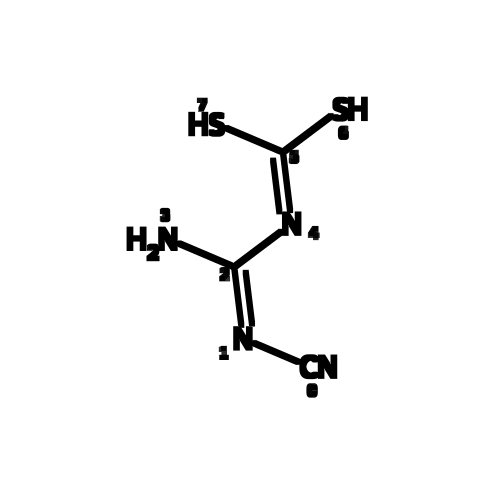 N#CN=C(N)N=C(S)S